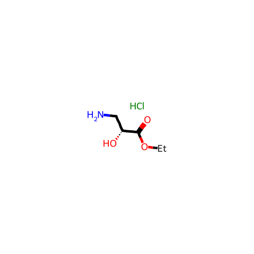 CCOC(=O)[C@H](O)CN.Cl